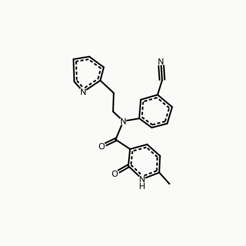 Cc1ccc(C(=O)N(CCc2ccccn2)c2cccc(C#N)c2)c(=O)[nH]1